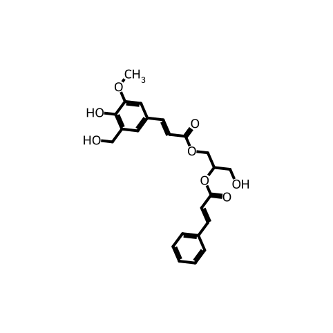 COc1cc(/C=C/C(=O)OCC(CO)OC(=O)/C=C/c2ccccc2)cc(CO)c1O